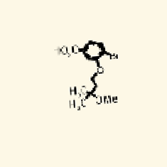 COC(C)(C)CCOc1cc(C(=O)O)ccc1Br